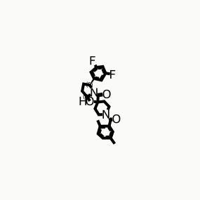 Cc1ccc(C)c(C(=O)N2CCC3(CC2)O[C@@H]2CC[C@@H](c4cc(F)cc(F)c4)N2C3=O)c1